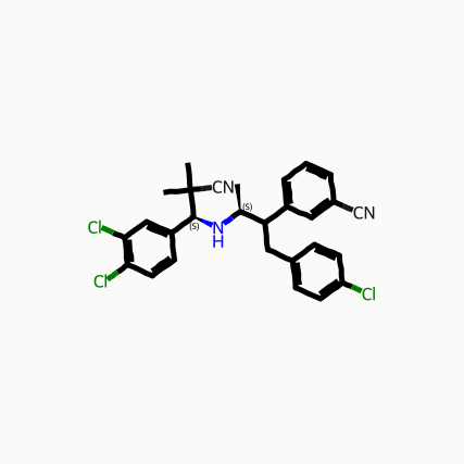 C[C@H](N[C@@H](c1ccc(Cl)c(Cl)c1)C(C)(C)C#N)C(Cc1ccc(Cl)cc1)c1cccc(C#N)c1